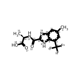 Cc1cc(C(F)(F)F)c2[nH]c(C(=O)N[C@H](C)C(=O)O)nc2c1